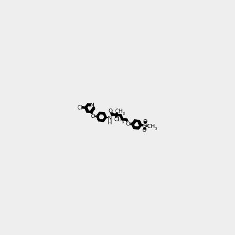 CC(C)(CCCOc1ccc(S(C)(=O)=O)cc1)C(=O)N[C@H]1CC[C@H](Oc2cncc(Cl)c2)CC1